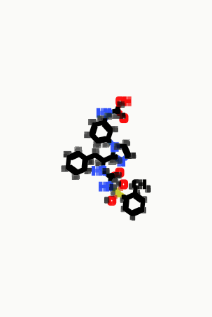 Cc1ccccc1S(=O)(=O)NC(=O)NC(Cc1ccccc1)c1nccn1-c1cccc(NC(=O)O)c1